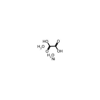 O.O.O=C(O)C(=O)O.[Ni]